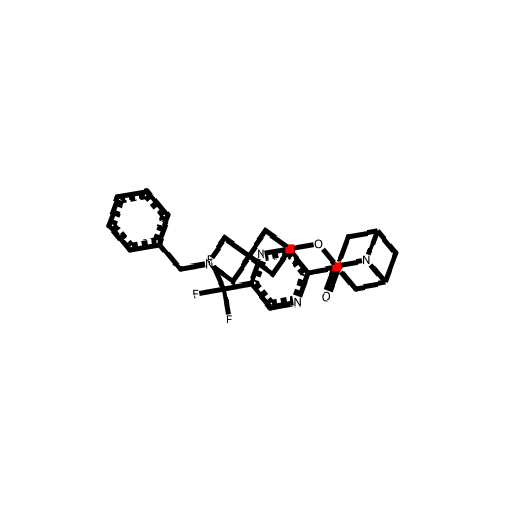 O=C(OC1CC2(C1)CN(Cc1ccccc1)C2)N1C2CC1CN(c1cnc(C(F)(F)F)cn1)C2